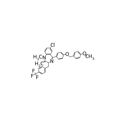 C=C1C(Cc2ccc(C(F)(F)F)cc2)N=C(c2ccc(OCc3ccc(OC)cc3)cc2)c2cc(Cl)ccc2N1C